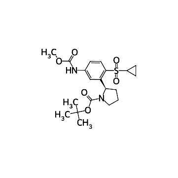 COC(=O)Nc1ccc(S(=O)(=O)C2CC2)c([C@H]2CCCN2C(=O)OC(C)(C)C)c1